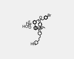 CCOC1(O)C=CC(N(Cc2cccc(-c3cccc(C(=O)N4CCC(CCCC5CCNCC5)CC4)c3)c2)C(=O)Cc2ccc(Br)cc2)=CC1.O=C(O)C(F)(F)F